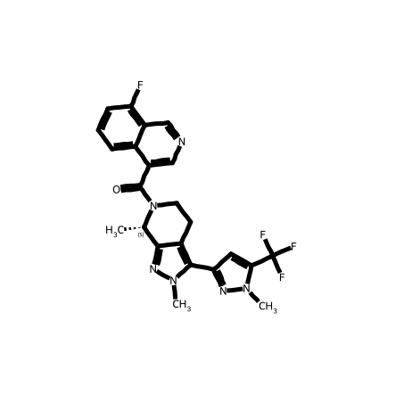 C[C@H]1c2nn(C)c(-c3cc(C(F)(F)F)n(C)n3)c2CCN1C(=O)c1cncc2c(F)cccc12